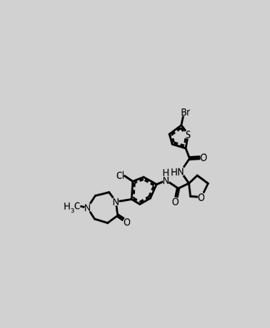 CN1CCC(=O)N(c2ccc(NC(=O)C3(NC(=O)c4ccc(Br)s4)CCOC3)cc2Cl)CC1